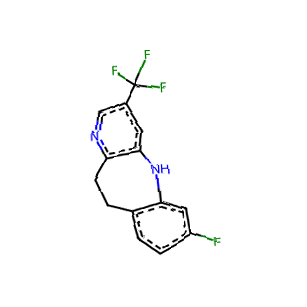 Fc1ccc2c(c1)Nc1cc(C(F)(F)F)cnc1CC2